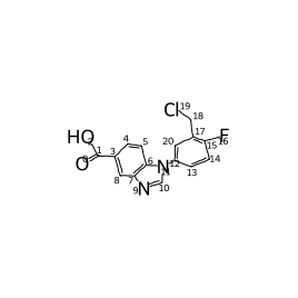 O=C(O)c1ccc2c(c1)ncn2-c1ccc(F)c(CCl)c1